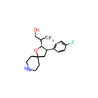 OCC([C@@H]1OC2(CCNCC2)CC1c1ccc(F)cc1)C(F)(F)F